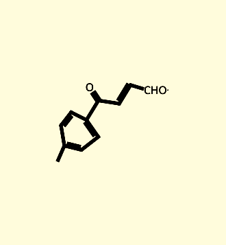 Cc1ccc(C(=O)/C=C/[C]=O)cc1